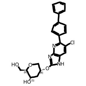 OC[C@H]1OC[C@H](Oc2nc3nc(-c4ccc(-c5ccccc5)cc4)c(Cl)cc3[nH]2)C[C@@H]1O